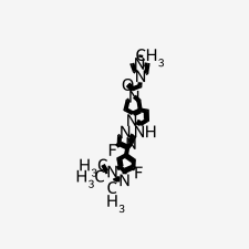 Cc1nc2c(F)cc(-c3nc(Nc4ccc5c(n4)CCN(C(=O)CN4CCN(C)CC4)C5)ncc3F)cc2n1C(C)C